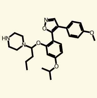 CCCC(Oc1cc(OC(C)C)ccc1-c1oncc1-c1ccc(OC)cc1)N1CCNCC1